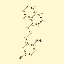 Nc1ccc(F)cc1OCCc1cccc2ccccc12